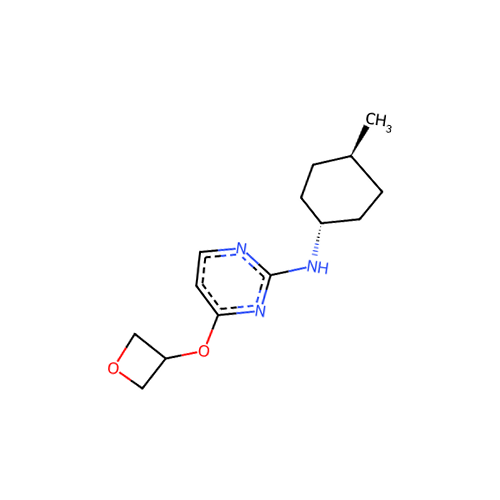 C[C@H]1CC[C@H](Nc2nccc(OC3COC3)n2)CC1